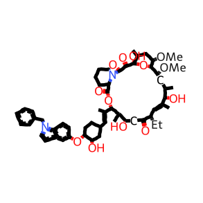 CCC1/C=C(\C)C(O)C(C)CC(OC)C2OC(O)(C(=O)C(=O)N3CCCCC3C(=O)OC(C(C)=CC3CCC(Oc4ccc5c(ccn5Cc5ccccc5)c4)C(O)C3)C(C)C(O)CC1=O)C(C)CC2OC